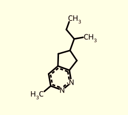 CCC(C)C1Cc2cc(C)nnc2C1